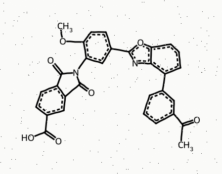 COc1ccc(-c2nc3c(-c4cccc(C(C)=O)c4)cccc3o2)cc1N1C(=O)c2ccc(C(=O)O)cc2C1=O